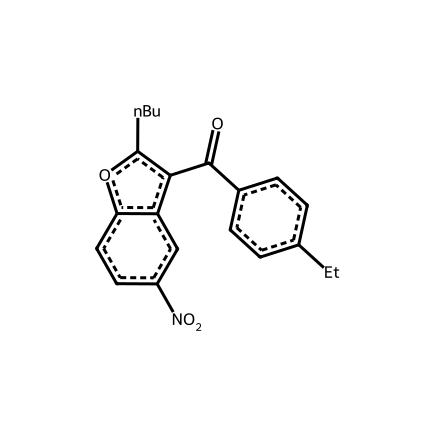 CCCCc1oc2ccc([N+](=O)[O-])cc2c1C(=O)c1ccc(CC)cc1